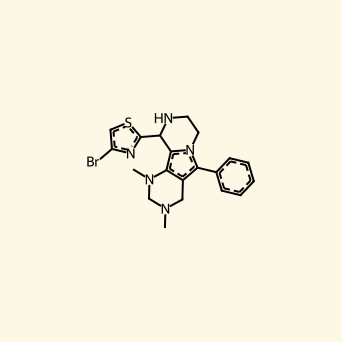 CN1Cc2c(c3n(c2-c2ccccc2)CCNC3c2nc(Br)cs2)N(C)C1